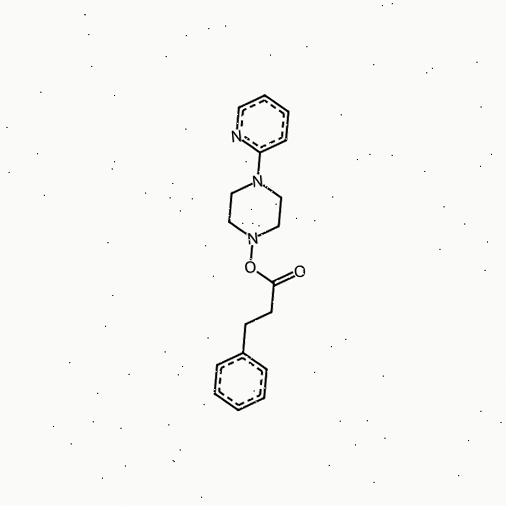 O=C(CCc1ccccc1)ON1CCN(c2ccccn2)CC1